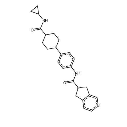 O=C(NC1CC1)C1CCN(c2ccc(NC(=O)N3Cc4ccncc4C3)cc2)CC1